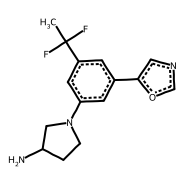 CC(F)(F)c1cc(-c2cnco2)cc(N2CCC(N)C2)c1